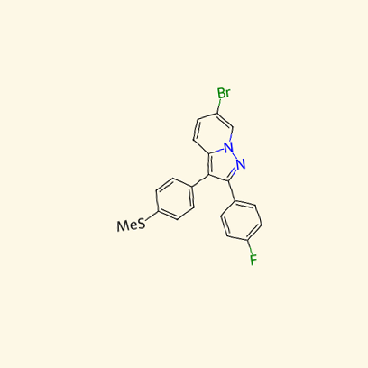 CSc1ccc(-c2c(-c3ccc(F)cc3)nn3cc(Br)ccc23)cc1